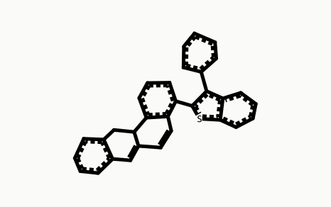 C1=Cc2c(-c3sc4ccccc4c3-c3ccccc3)cccc2C2Cc3ccccc3C=C12